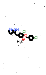 COc1cc(Cc2c[nH]c3ncccc23)cc(Cl)c1OCc1ccc(Cl)cc1